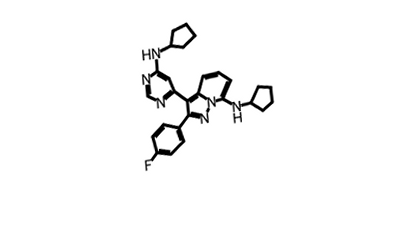 Fc1ccc(-c2nn3c(NC4CCCC4)cccc3c2-c2cc(NC3CCCC3)ncn2)cc1